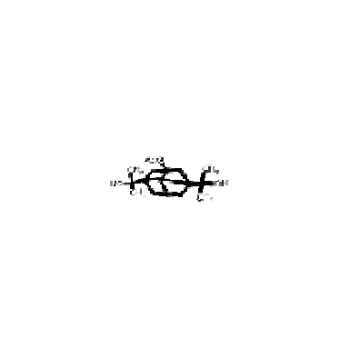 CC(=O)OC12CC3CC(C(C)(C)O)(C1)CC(C(C)(C)O)(C3)C2